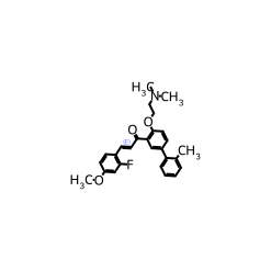 COc1ccc(/C=C/C(=O)c2cc(-c3ccccc3C)ccc2OCCN(C)C)c(F)c1